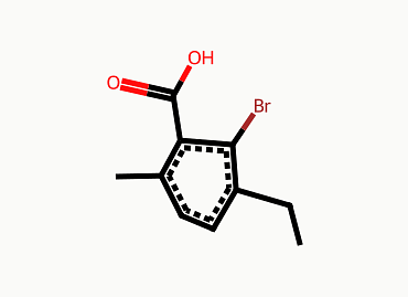 CCc1ccc(C)c(C(=O)O)c1Br